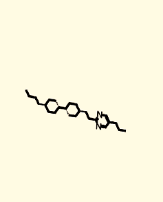 CCCC[C@H]1CC[C@H]([C@H]2CC[C@H](CCc3ncc(CCC)cn3)CC2)CC1